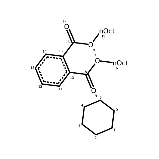 C1CCCCC1.CCCCCCCCOC(=O)c1ccccc1C(=O)OCCCCCCCC